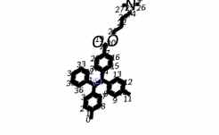 Cc1ccc(/C(=C(\c2ccc(C)cc2)c2ccc(C(=O)OCCCC[N+](C)(C)C)cc2)c2ccccc2)cc1